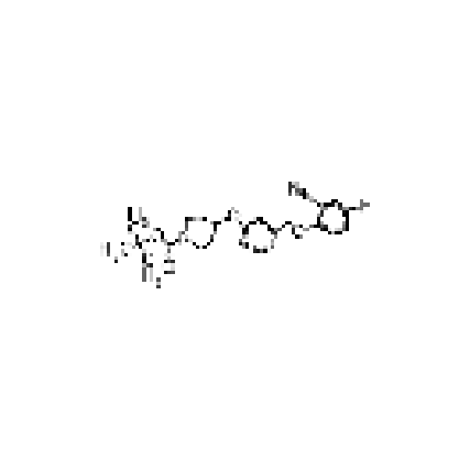 CC(C)(C)OC(=O)N1CCC(Oc2cccc(COc3ccc(F)cc3C#N)c2)CC1